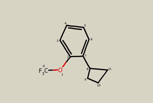 FC(F)(F)Oc1ccccc1C1CCC1